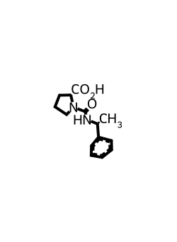 C[C@@H](NC(=O)N1CCCC1C(=O)O)c1ccccc1